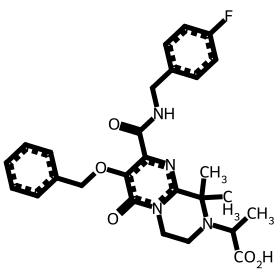 CC(C(=O)O)N1CCn2c(nc(C(=O)NCc3ccc(F)cc3)c(OCc3ccccc3)c2=O)C1(C)C